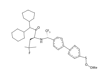 COOSc1ccc(-c2ccc([C@H](N[C@@H](CC(C)(C)F)C(=O)C(C3CCCCC3)C3CCCCC3)C(F)(F)F)cc2)cc1